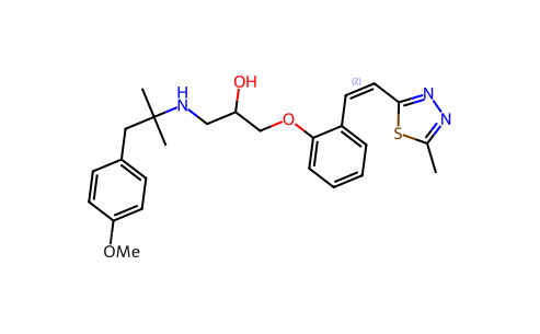 COc1ccc(CC(C)(C)NCC(O)COc2ccccc2/C=C\c2nnc(C)s2)cc1